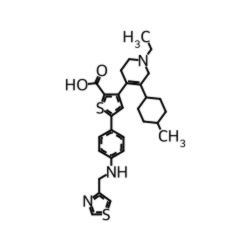 CCN1CCC(c2cc(-c3ccc(NCc4cscn4)cc3)sc2C(=O)O)=C(C2CCC(C)CC2)C1